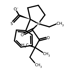 CCC(C)(C)C(=O)C(=O)[N+]1(CC)CCC[C@@]1(C([O-])=S)c1ccccc1